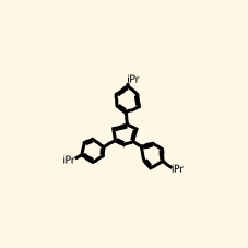 CC(C)c1ccc(-c2[c]c(-c3ccc(C(C)C)cc3)cc(-c3ccc(C(C)C)cc3)c2)cc1